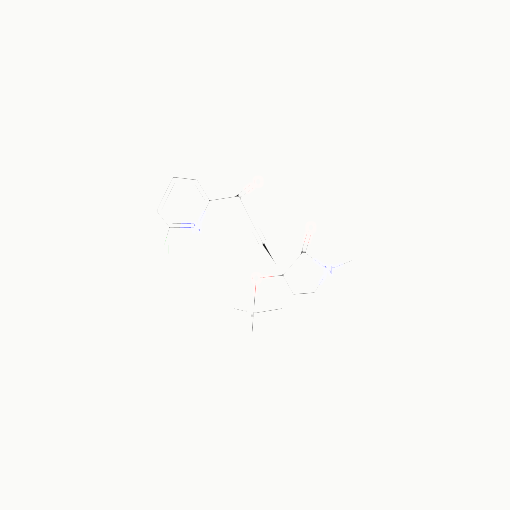 CN1CC[C@](C#CC(=O)c2cccc(Cl)n2)(O[Si](C)(C)C)C1=O